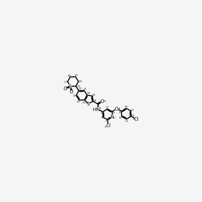 O=C(Nc1cc(Cl)nc(Oc2ccc(Cl)cc2)c1)c1cc2cc(C3CCCCS3(=O)=O)ccc2s1